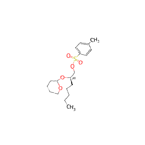 CCCCC[C@H](COS(=O)(=O)c1ccc(C)cc1)OC1CCCCO1